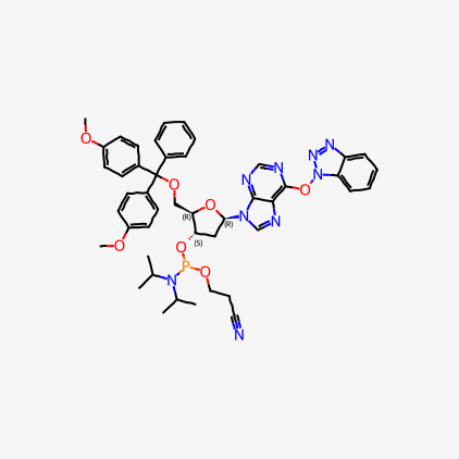 COc1ccc(C(OC[C@H]2O[C@@H](n3cnc4c(On5nnc6ccccc65)ncnc43)C[C@@H]2OP(OCCC#N)N(C(C)C)C(C)C)(c2ccccc2)c2ccc(OC)cc2)cc1